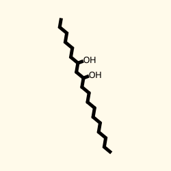 CCCCCCCCCCC(O)CC(O)CCCCCC